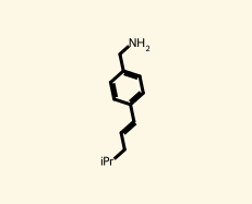 CC(C)CC=Cc1ccc(CN)cc1